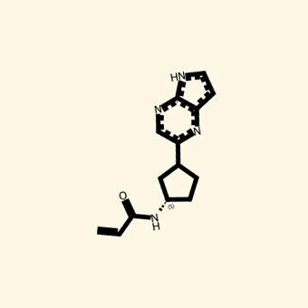 C=CC(=O)N[C@H]1CCC(c2cnc3[nH]ccc3n2)C1